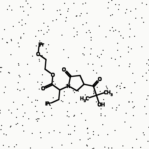 CC(C)CC(C(=O)OCCOC(C)C)N1CC(C(=O)C(C)(C)O)CC1=O